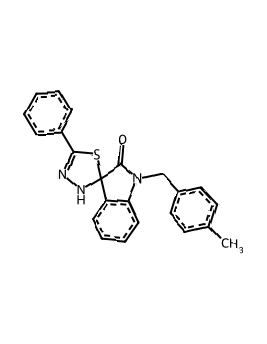 Cc1ccc(CN2C(=O)C3(NN=C(c4ccccc4)S3)c3ccccc32)cc1